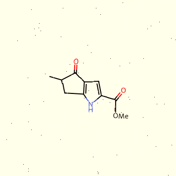 COC(=O)c1cc2c([nH]1)CC(C)C2=O